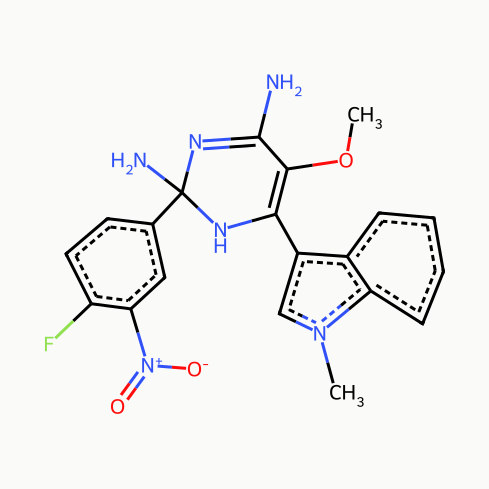 COC1=C(c2cn(C)c3ccccc23)NC(N)(c2ccc(F)c([N+](=O)[O-])c2)N=C1N